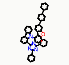 c1ccc(-c2ccc(-c3ccc4c(c3)oc3cccc(-n5c6ccccc6c6cccc(-c7nc(-c8ccccc8)nc(-c8ccccc8)n7)c65)c34)cc2)cc1